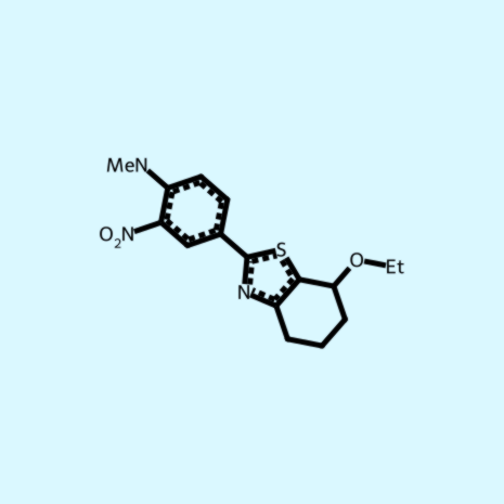 CCOC1CCCc2nc(-c3ccc(NC)c([N+](=O)[O-])c3)sc21